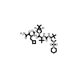 CN(C[C@@H](NC(=O)N[C@H](C(=O)N1C[C@H]2[C@@H]([C@H]1C(=O)NC(CC1CCC1)C(=O)C(N)=O)C2(C)C)C(C)(C)C)C(C)(C)C)S(=O)(=O)N1CCCCC1